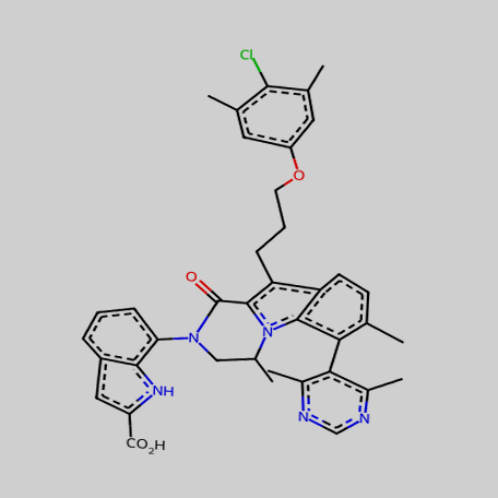 Cc1cc(OCCCc2c3n(c4c(-c5c(C)ncnc5C)c(C)ccc24)C(C)CN(c2cccc4cc(C(=O)O)[nH]c24)C3=O)cc(C)c1Cl